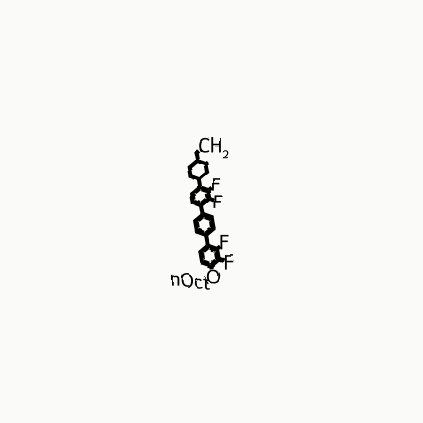 C=CC1CCC(c2ccc(-c3ccc(-c4ccc(OCCCCCCCC)c(F)c4F)cc3)c(F)c2F)CC1